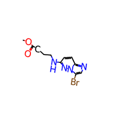 COC(=O)CCCNc1ccc2ncc(Br)n2n1